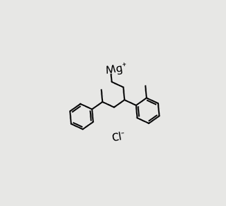 Cc1ccccc1C(C[CH2][Mg+])CC(C)c1ccccc1.[Cl-]